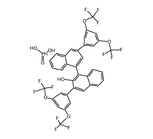 O=[PH](O)O.Oc1c(-c2cc(OC(F)(F)F)cc(OC(F)(F)F)c2)cc2ccccc2c1-c1cc(-c2cc(OC(F)(F)F)cc(OC(F)(F)F)c2)cc2ccccc12